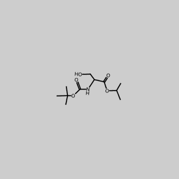 CC(C)OC(=O)C(CO)NC(=O)OC(C)(C)C